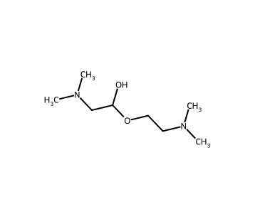 CN(C)CCOC(O)CN(C)C